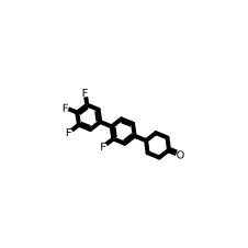 O=C1CCC(c2ccc(-c3cc(F)c(F)c(F)c3)c(F)c2)CC1